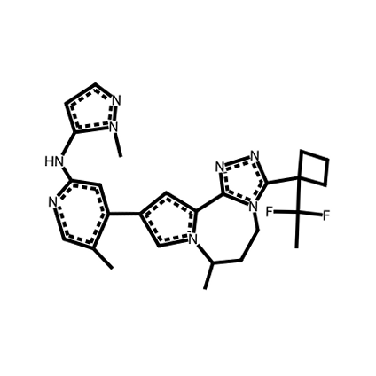 Cc1cnc(Nc2ccnn2C)cc1-c1cc2n(c1)C(C)CCn1c-2nnc1C1(C(C)(F)F)CCC1